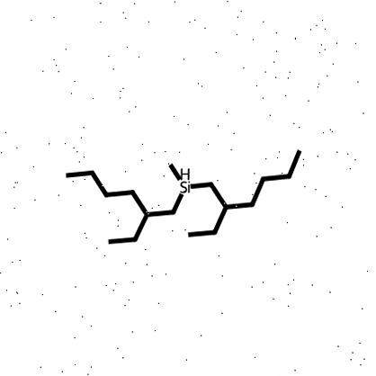 CCCCC(CC)C[SiH](C)CC(CC)CCCC